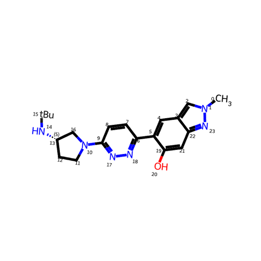 Cn1cc2cc(-c3ccc(N4CC[C@H](NC(C)(C)C)C4)nn3)c(O)cc2n1